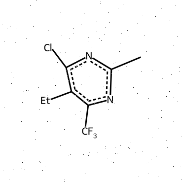 [CH2]Cc1c(Cl)nc(C)nc1C(F)(F)F